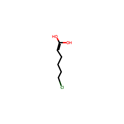 OC(O)=CCCCCCl